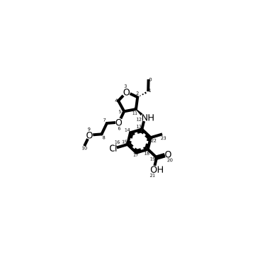 CC[C@H]1OCC(OCCOC)[C@@H]1Nc1cc(Cl)cc(C(=O)O)c1C